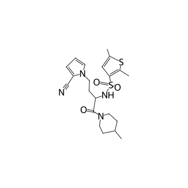 Cc1cc(S(=O)(=O)NC(CCn2cccc2C#N)C(=O)N2CCC(C)CC2)c(C)s1